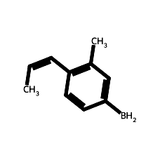 Bc1ccc(/C=C\C)c(C)c1